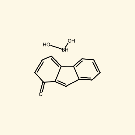 O=C1C=CC=C2C1=Cc1ccccc12.OBO